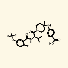 CC(C)[C@@H](NC(=O)c1cc(OC(F)(F)F)ccc1F)C(=O)N1CCC(C)(Nc2ccc(C(=O)O)cc2)CC1